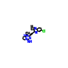 CN/C(C#Cc1nc2cc(Cl)ccc2nc1C)=N\C(=N)N1CCCC1